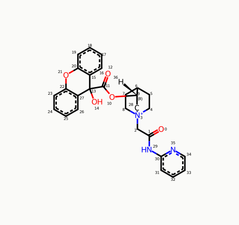 O=C(C[N+]12CCC(CC1)[C@@H](OC(=O)C1(O)c3ccccc3Oc3ccccc31)C2)Nc1ccccn1